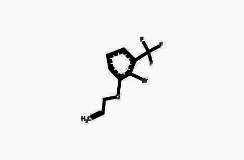 C=CCOc1cccc(C(F)(F)F)c1Br